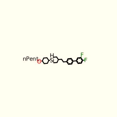 CCCCCOC1CCC([SiH]2CCC(CCc3ccc(-c4ccc(F)c(F)c4)cc3)CC2)CC1